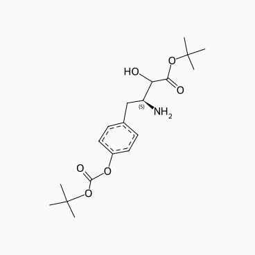 CC(C)(C)OC(=O)Oc1ccc(C[C@H](N)C(O)C(=O)OC(C)(C)C)cc1